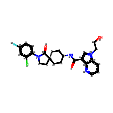 O=C(N[C@H]1CC[C@@]2(CCN(c3ccc(F)cc3Cl)C2=O)CC1)c1cn(CCO)c2cccnc12